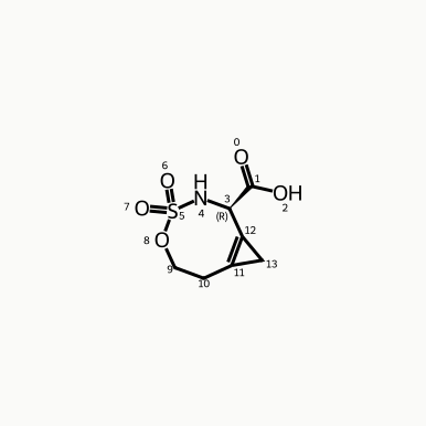 O=C(O)[C@@H]1NS(=O)(=O)OCCC2=C1C2